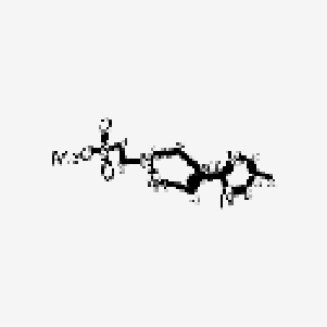 COS(=O)(=O)CC[n+]1ccc(-c2ncc(C)cn2)cn1